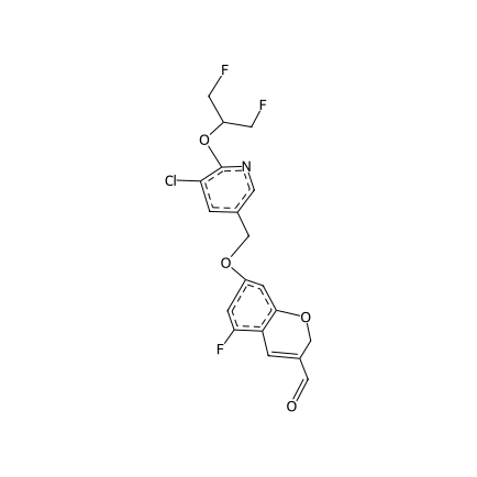 O=CC1=Cc2c(F)cc(OCc3cnc(OC(CF)CF)c(Cl)c3)cc2OC1